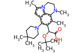 Cc1c([C@H](OC(C)(C)C)C(=O)O)c(N2CCC(C)(C)CC2)c2cc(C)n3c2c1N(C)CC3